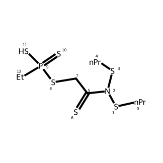 CCCSN(SCCC)C(=S)CSP(=S)(S)CC